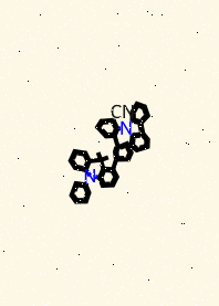 CC1(C)c2ccccc2N(c2ccccc2)c2cccc(-c3cccc(-c4cccc(C#N)c4-n4c5ccccc5c5ccccc54)c3)c21